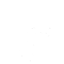 C#Cc1c(F)ccc2cc(O)cc(-c3ncc4c(N5C[C@H]6CC[C@@H](C5)N6)nc(OCCC5CCOCC5)c(C)c4c3F)c12